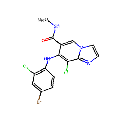 CONC(=O)c1cn2ccnc2c(Cl)c1Nc1ccc(Br)cc1Cl